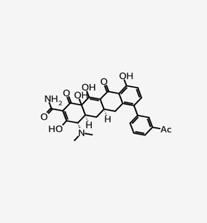 CC(=O)c1cccc(-c2ccc(O)c3c2C[C@H]2C[C@H]4[C@H](N(C)C)C(O)=C(C(N)=O)C(=O)C4(O)C(O)=C2C3=O)c1